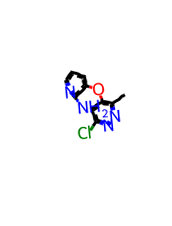 Cc1nnc(Cl)cc1Oc1cccnc1N